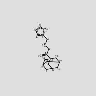 O=C(CSCc1ccco1)C12CC3CC(CC(C3)C1)C2